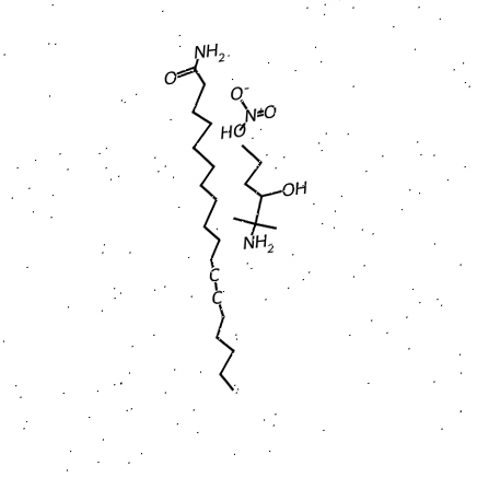 CCCC(O)C(C)(C)N.CCCCCCCCCCCCCCCCCC(N)=O.O=[N+]([O-])O